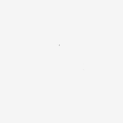 CCN(CC)C(=O)c1ccc(C2NCCc3cc(OC)c(OC)cc32)cc1